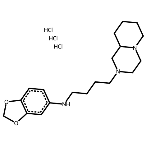 Cl.Cl.Cl.c1cc2c(cc1NCCCCN1CCN3CCCCC3C1)OCO2